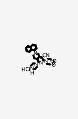 Cl.N#Cc1c(N2CCS(=O)(=O)CC2)nc(N2CCNCC2)c2c1CN(c1cccc3ccccc13)CC2